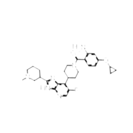 CN1CCCC(c2nc3c(C4CCN(C(=O)c5ccc(OC6CC6)cc5N)CC4)c(F)cnc3[nH]2)C1